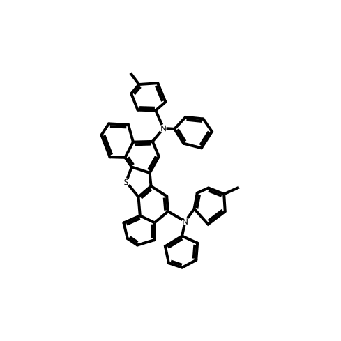 Cc1ccc(N(c2ccccc2)c2cc3c4cc(N(c5ccccc5)c5ccc(C)cc5)c5ccccc5c4sc3c3ccccc23)cc1